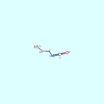 O=C=NCSS